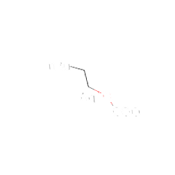 CCCCCCOC(=O)[O-].[Ag+]